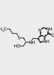 CCCCSC[C@H](CO)NCc1c[nH]c2c(=O)[nH]cnc12